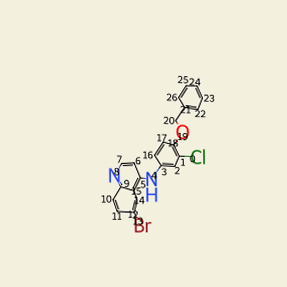 Clc1cc(Nc2ccnc3ccc(Br)cc23)ccc1OCc1ccccc1